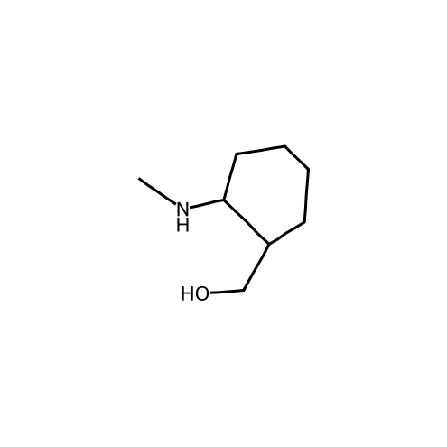 CNC1CCCCC1CO